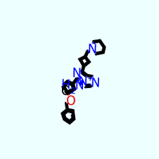 N[N+]12C=CN=CC1=C(C1CC(CN3CCCCC3)C1)N=C2c1cccc(OCc2ccccc2)c1